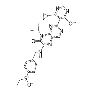 CC[S+]([O-])c1ccc(CNc2nc3cnc(-c4c(OC)ncnc4C4CC4)nc3n(C(C)C)c2=O)cc1